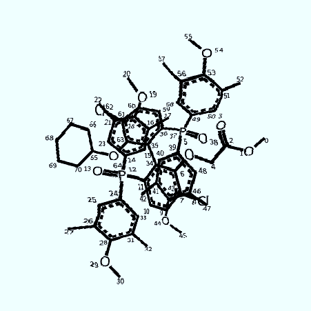 COC(=O)COc1c(Cl)ccc(P(=O)(c2cc(C)c(OC)c(C)c2)c2cc(C)c(OC)c(C)c2)c1-c1c(P(=O)(c2cc(C)c(OC)c(C)c2)c2cc(C)c(OC)c(C)c2)ccc(Cl)c1OC1CCCCC1